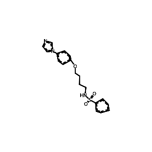 O=S(=O)(NCCCCOc1ccc(-n2ccnc2)cc1)c1ccccc1